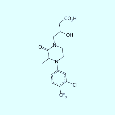 CC1C(=O)N(CC(O)CC(=O)O)CCN1c1ccc(C(F)(F)F)c(Cl)c1